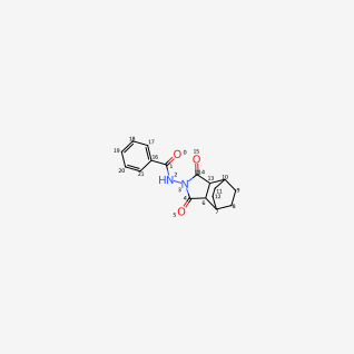 O=C(NN1C(=O)C2C3CCC(CC3)C2C1=O)c1ccccc1